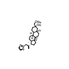 C=C(Cn1nccn1)[C@H]1CC[C@H]2[C@@H]3CC[C@H]4C[C@@](O)(COC)CC[C@@H]4[C@H]3CC[C@]12C